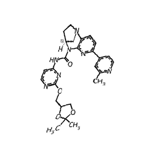 Cc1cc(-c2ccc3c(n2)N(C(=O)Nc2ccnc(OCC4COC(C)(C)O4)n2)[C@H]2CCN3C2)ccn1